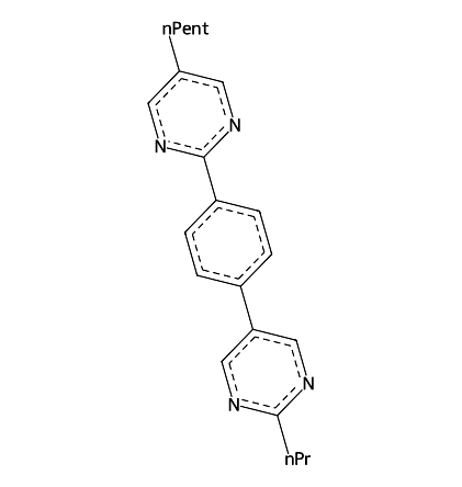 CCCCCc1cnc(-c2ccc(-c3cnc(CCC)nc3)cc2)nc1